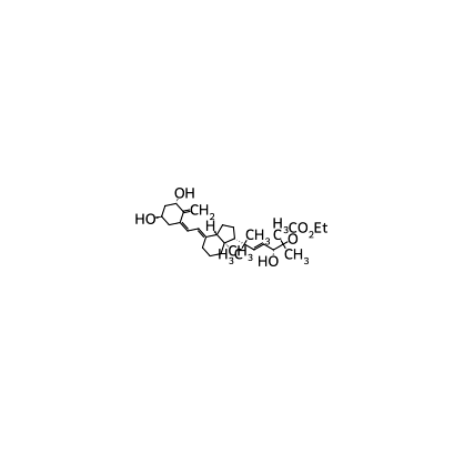 C=C1/C(=C\C=C2/CCC[C@]3(C)[C@@H](C(C)(C)/C=C/[C@@H](O)C(C)(C)OC(=O)OCC)CC[C@@H]23)C[C@@H](O)C[C@@H]1O